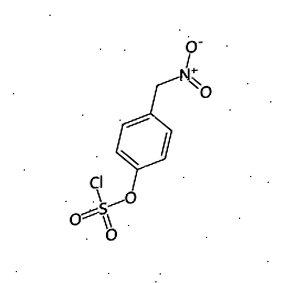 O=[N+]([O-])Cc1ccc(OS(=O)(=O)Cl)cc1